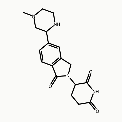 CN1CCNC(c2ccc3c(c2)CN(C2CCC(=O)NC2=O)C3=O)C1